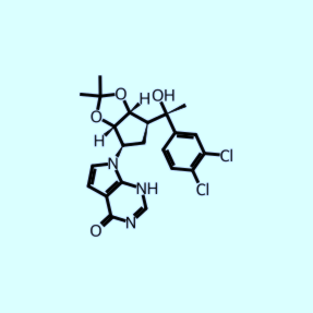 CC1(C)O[C@@H]2[C@H](O1)[C@@H]([C@](C)(O)c1ccc(Cl)c(Cl)c1)C[C@H]2n1ccc2c(=O)nc[nH]c21